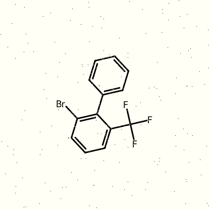 FC(F)(F)c1cc[c]c(Br)c1-c1ccccc1